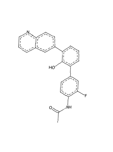 CC(=O)Nc1ccc(-c2cccc(-c3ccc4ncccc4c3)c2O)cc1F